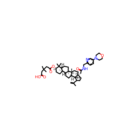 C=C(C)C1CC[C@]2(CC(=O)NCc3ccc(N4CCOCC4)cn3)CC[C@]3(C)[C@H](CC[C@@H]4[C@@]5(C)CC[C@H](OC(=O)CC(C)(C)CC(=O)O)C(C)(C)[C@@H]5CC[C@]43C)[C@@H]12